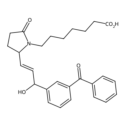 O=C(O)CCCCCCN1C(=O)CCC1C=CC(O)c1cccc(C(=O)c2ccccc2)c1